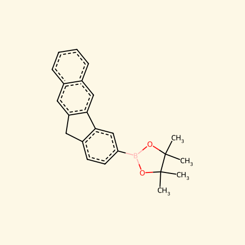 CC1(C)OB(c2ccc3c(c2)-c2cc4ccccc4cc2C3)OC1(C)C